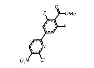 COC(=O)c1c(F)cc(-c2ccc([N+](=O)[O-])c(Cl)n2)cc1F